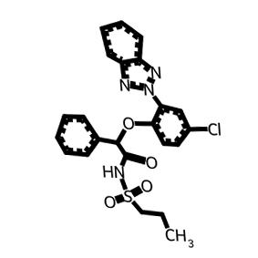 CCCS(=O)(=O)NC(=O)C(Oc1ccc(Cl)cc1-n1nc2ccccc2n1)c1ccccc1